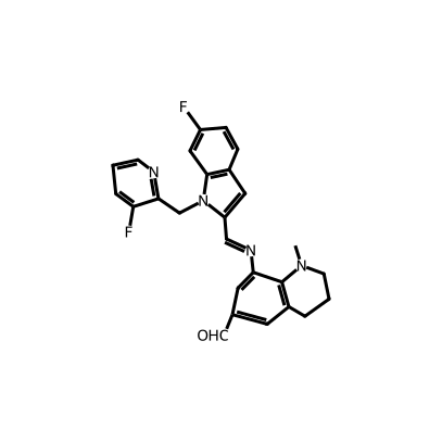 CN1CCCc2cc(C=O)cc(/N=C/c3cc4ccc(F)cc4n3Cc3ncccc3F)c21